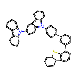 C1=CC2Sc3c(-c4cccc(-c5ccc(-n6c7ccccc7c7cc(-n8c9ccccc9c9ccccc98)ccc76)cc5)c4)cccc3C2C=C1